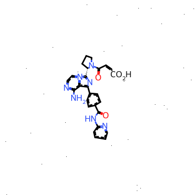 Nc1nccn2c([C@@H]3CCCN3C(=O)/C=C\C(=O)O)nc(-c3ccc(C(=O)Nc4ccccn4)cc3)c12